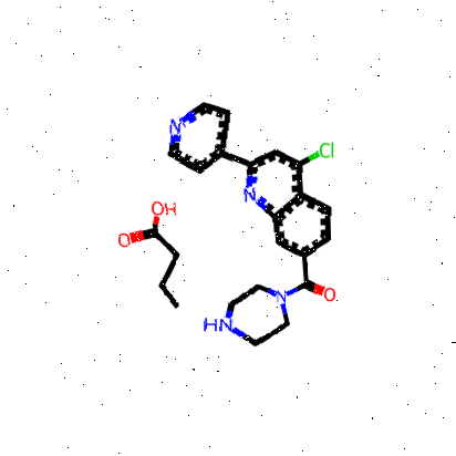 CCCC(=O)O.O=C(c1ccc2c(Cl)cc(-c3ccncc3)nc2c1)N1CCNCC1